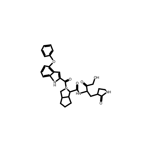 O=C1NCCC1CC(NC(=O)C1C2CCCC2CN1C(=O)c1cc2c(Oc3ccccc3)cccc2[nH]1)C(=O)CO